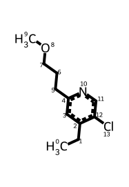 CCc1cc(CCCOC)ncc1Cl